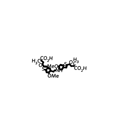 COc1cc2sc(C(=O)CC(C)C(=O)O)cc2cc1CCNc1cc2cc(C(=O)CC(C)C(=O)O)sc2cc1OC